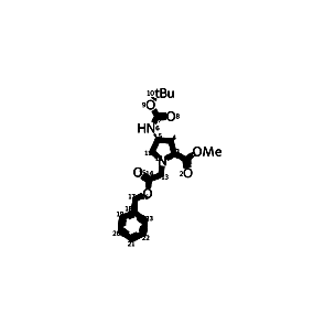 COC(=O)C1C[C@@H](NC(=O)OC(C)(C)C)CN1CC(=O)OCc1ccccc1